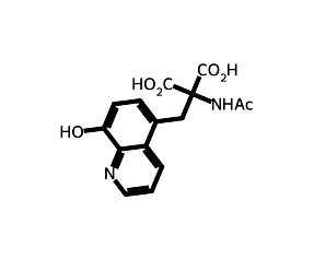 CC(=O)NC(Cc1ccc(O)c2ncccc12)(C(=O)O)C(=O)O